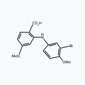 COc1ccc(C(=O)O)c(Nc2ccc(OC)c(Br)c2)c1